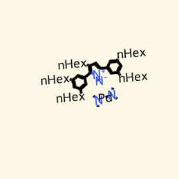 CCCCCCC1=C(c2cc(CCCCCC)cc(CCCCCC)c2)[N+](=[N-])C(c2cc(CCCCCC)cc(CCCCCC)c2)=C1.C[N](C)[Pd][N](C)C